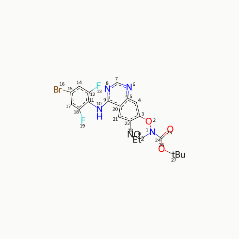 CCN(Oc1cc2ncnc(Nc3c(F)cc(Br)cc3F)c2cc1[N+](=O)[O-])C(=O)OC(C)(C)C